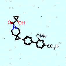 COc1cc(C(=O)O)ccc1-c1ccc([C@H]2CC23CCN(C(=O)C2(O)CC2)CC3)cc1